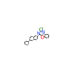 Clc1nc(-c2ccc3cc(C4=CC=CCC4)ccc3c2)c2oc3ccccc3c2n1